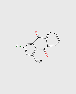 O=C(O)c1cc(Cl)cc2c1C(=O)c1ccccc1C2=O